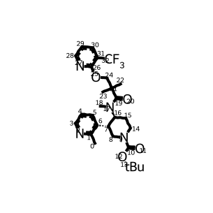 Cc1ncccc1[C@H]1CN(C(=O)OC(C)(C)C)CC[C@@H]1N(C)C(=O)C(C)(C)COc1ncccc1C(F)(F)F